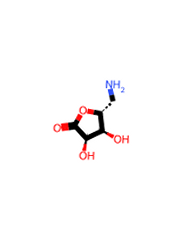 NC[C@H]1OC(=O)[C@H](O)[C@@H]1O